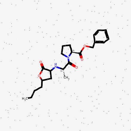 CCCCC1CC(N[C@@H](C)C(=O)N2CCC[C@H]2C(=O)OCc2ccccc2)C(=O)O1